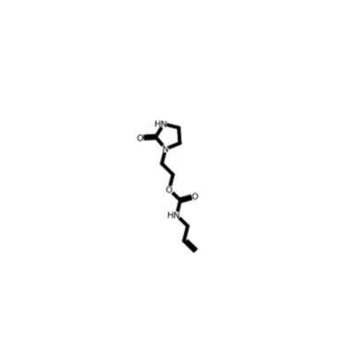 C=CCNC(=O)OCCN1CCNC1=O